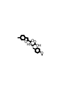 COc1ccc(C[C@H](NC(=O)c2cc3ccc(C)cc3o2)C(=O)O)cc1